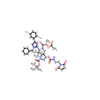 CC(=O)O[C@@H](C)C(=O)N(C[C@@H]1CN(C(=O)OC(C)(C)C)C[C@H]1OC(=O)NCCN1C(=O)C=CC1=O)[C@@H](c1nc(-c2cc(F)ccc2F)cn1Cc1ccccc1)C(C)(C)C